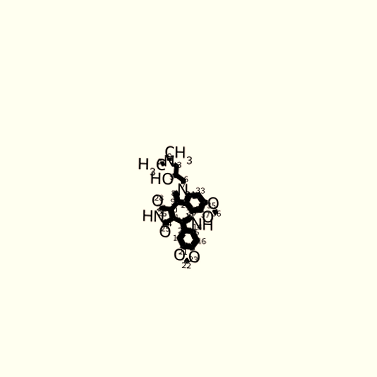 CN(C)CC(O)Cn1cc(C2=C(c3c[nH]c4cc5c(cc34)OCO5)C(=O)NC2=O)c2cc3c(cc21)OCO3